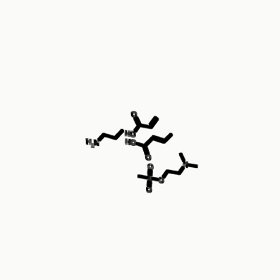 C=CC(=O)O.CC=CC(=O)O.CCCN.CN(C)CCOS(C)(=O)=O